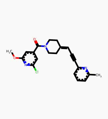 COc1cc(C(=O)N2CCC(=CC#Cc3cccc(C)n3)CC2)cc(Cl)n1